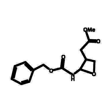 COC(=O)CC1COC1NC(=O)OCc1ccccc1